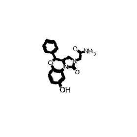 NC(=O)CN1CC2C(c3ccccc3)Oc3ccc(O)cc3N2C1=O